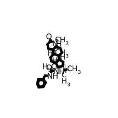 CC(C)[C@H]1C[C@H]2[C@@H]3CC[C@H]4N(C)C(=O)CC[C@]4(C)[C@H]3CC[C@]2(C)[C@H]1NC(=O)NCc1ccccc1